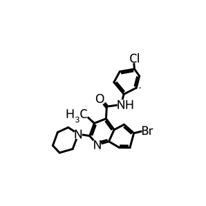 Cc1c(N2CCCCC2)nc2ccc(Br)cc2c1C(=O)Nc1[c]cc(Cl)cc1